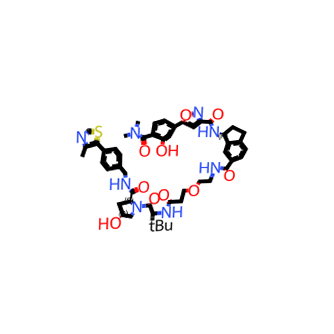 Cc1ncsc1-c1ccc(CNC(=O)[C@@H]2C[C@@H](O)CN2C(=O)C(NC(=O)CCOCCNC(=O)c2ccc3c(c2)[C@H](NC(=O)c2cc(-c4ccc(C(=O)N(C)C)c(O)c4)on2)CC3)C(C)(C)C)cc1